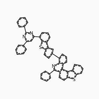 c1ccc(-c2cc(-c3cccc4c3sc3ccc(-c5cccc6c5nc(-c5ccccc5)c5ccc7sc8ccccc8c7c56)cc34)nc(-c3ccccc3)n2)cc1